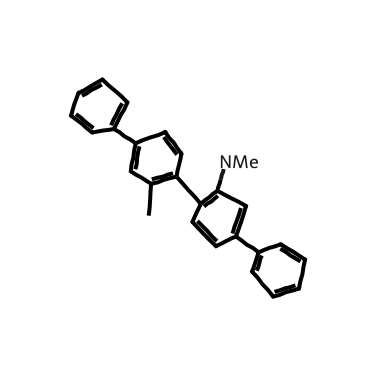 CNc1cc(-c2ccccc2)ccc1-c1ccc(-c2ccccc2)cc1C